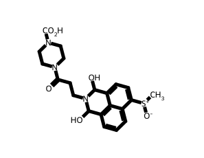 C[S+]([O-])c1ccc2c3c(cccc13)C(O)N(CCC(=O)N1CCN(C(=O)O)CC1)C2O